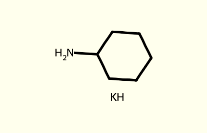 NC1CCCCC1.[KH]